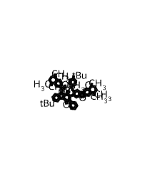 CC(C)(C)c1ccc(N2B3c4oc5cc6c(cc5c4-n4c5ccc(C(C)(C)C)cc5c5c7oc8ccccc8c7c(c3c54)-c3cc4oc5cc7c(cc5c4cc32)C(C)(C)CCC7(C)C)C(C)(C)CCC6(C)C)cc1